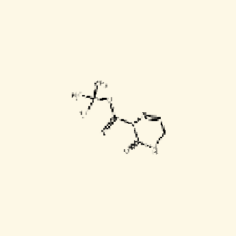 CC(C)(C)OC(=O)N1N=CCNC1=O